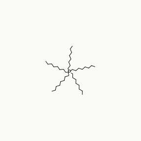 CCCCCCCCP(CCCCCCCC)(CCCCCCCC)(CCCCCCCC)CCCCCCCC